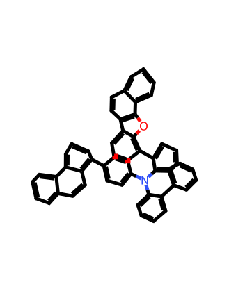 c1ccc(-c2ccccc2N(c2ccc(-c3cccc4c3ccc3ccccc34)cc2)c2ccccc2-c2cccc3c2oc2c4ccccc4ccc32)cc1